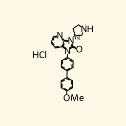 COc1ccc(-c2ccc(-n3c(=O)n([C@H]4CCNC4)c4ncccc43)cc2)cc1.Cl